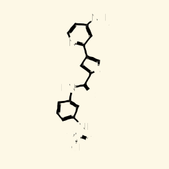 CS(=O)(=O)Nc1cccc(NC(=O)c2cc(-c3cc(N)ccn3)cs2)c1